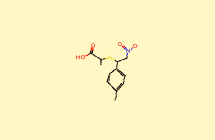 Cc1ccc(C(C[N+](=O)[O-])SC(C)C(=O)O)cc1